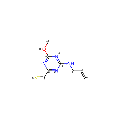 C=CCNc1nc(C=S)nc(OC)n1